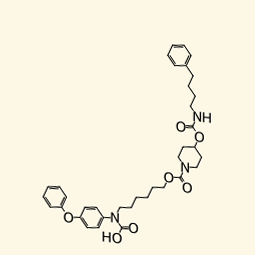 O=C(NCCCCc1ccccc1)OC1CCN(C(=O)OCCCCCCN(C(=O)O)c2ccc(Oc3ccccc3)cc2)CC1